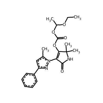 CCOC(C)OC(=O)OC1=C(n2nc(-c3ccccc3)cc2C)C(=O)NC1(C)C